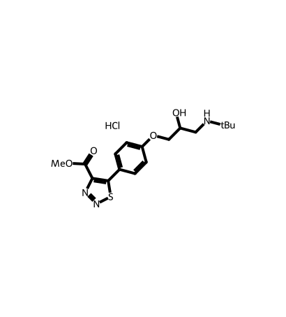 COC(=O)c1nnsc1-c1ccc(OCC(O)CNC(C)(C)C)cc1.Cl